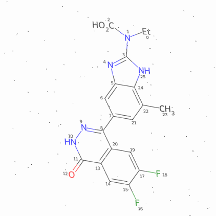 CCN(C(=O)O)c1nc2cc(-c3n[nH]c(=O)c4cc(F)c(F)cc34)cc(C)c2[nH]1